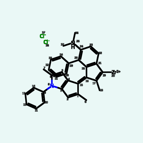 CC1=Cc2c(cc(C)n2-c2ccccc2)C1=C1C(C)=[C]([Zr+2])c2ccc([SiH](C)C)c(-c3ccccc3)c21.[Cl-].[Cl-]